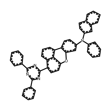 c1ccc(-c2nc(-c3ccccc3)nc(-c3ccc4c5c(cccc35)-c3ccc(N(c5ccccc5)c5ccc6ccccc6c5)cc3O4)n2)cc1